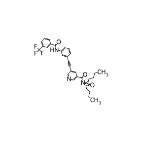 CCCCS(=O)(CCCC)=NC(=O)c1cncc(C#Cc2cccc(NC(=O)c3cccc(C(F)(F)F)c3)c2)c1